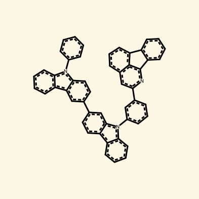 c1ccc(-n2c3ccccc3c3cc(-c4ccc5c6ccccc6n(-c6cccc(-c7cc8cccc9c8c(n7)-c7ccccc7-9)c6)c5c4)ccc32)cc1